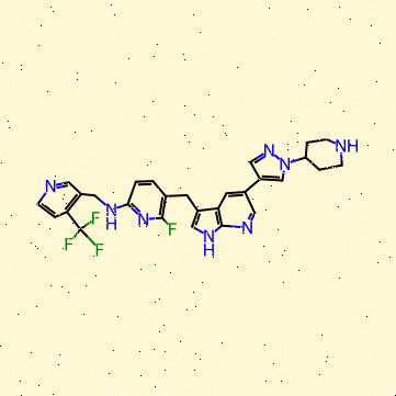 Fc1nc(NCc2cnccc2C(F)(F)F)ccc1Cc1c[nH]c2ncc(-c3cnn(C4CCNCC4)c3)cc12